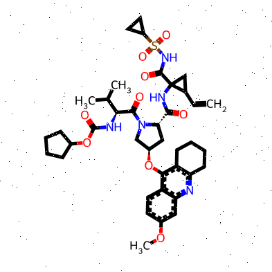 C=CC1CC1(NC(=O)[C@@H]1C[C@@H](Oc2c3c(nc4cc(OC)ccc24)CCCC3)CN1C(=O)[C@@H](NC(=O)OC1CCCC1)C(C)C)C(=O)NS(=O)(=O)C1CC1